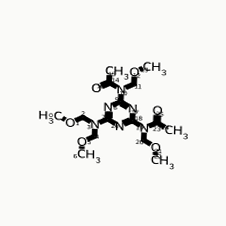 COCN(COC)c1nc(N(COC)C(C)=O)nc(N(COC)C(C)=O)n1